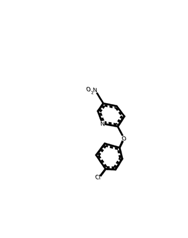 O=[N+]([O-])c1ccc(Oc2ccc(Cl)cc2)nc1